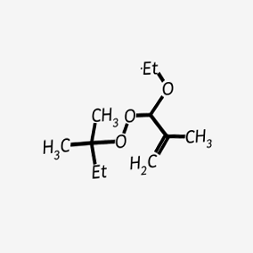 C=C(C)C(O[CH]C)OOC(C)(C)CC